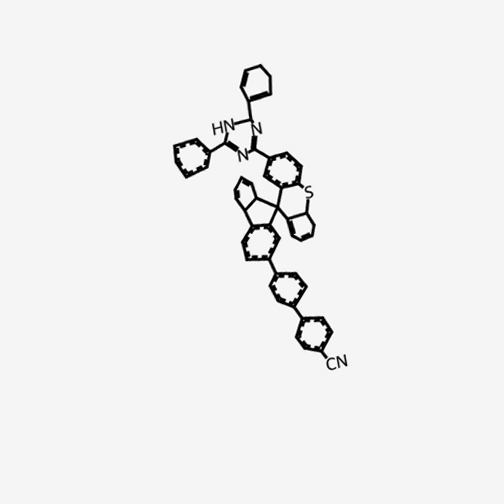 N#Cc1ccc(-c2ccc(-c3ccc4c(c3)C3(C5=CC=CCC5Sc5ccc(C6=NC(C7=CCCC=C7)NC(c7ccccc7)=N6)cc53)C3C=CC=CC43)cc2)cc1